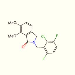 COc1ccc2c(c1OC)C(=O)N(Cc1c(F)ccc(F)c1Cl)C2